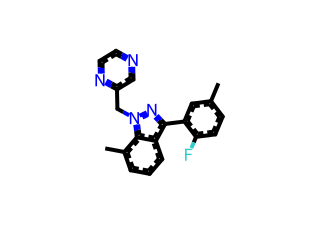 Cc1ccc(F)c(-c2nn(Cc3cnccn3)c3c(C)cccc23)c1